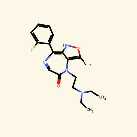 CCN(CC)CCN1C(=O)C=NC(c2ccccc2F)=C2NOC(C)=C21